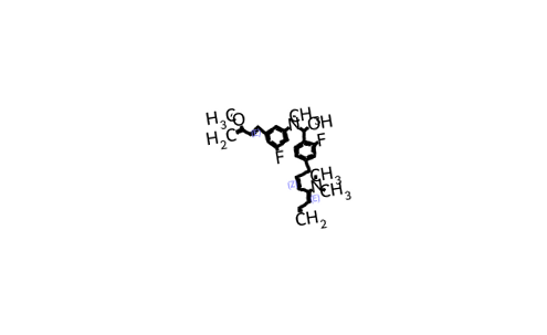 C=C/C=C(\C=C/Cc1ccc(C(O)N(C)c2cc(F)cc(/C=C/C(=C)OC)c2)c(F)c1)N(C)C